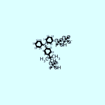 CC(C)(C)c1ccc([S+](c2ccccc2)c2ccccc2)cc1.O=S(=O)(O)F.O=S(=O)(O)F.O=S(=O)([O-])F